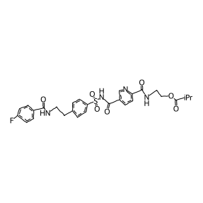 CC(C)C(=O)OCCNC(=O)c1ccc(C(=O)NS(=O)(=O)c2ccc(CCNC(=O)c3ccc(F)cc3)cc2)cn1